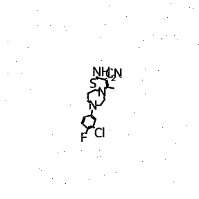 C/C(=C(\C#N)C(N)=S)N1CCCN(c2ccc(F)c(Cl)c2)CC1